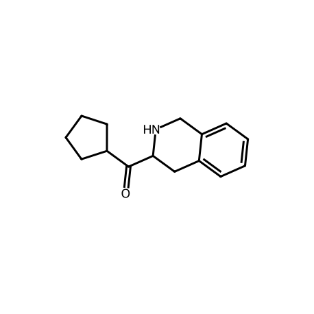 O=C(C1CCCC1)C1Cc2ccccc2CN1